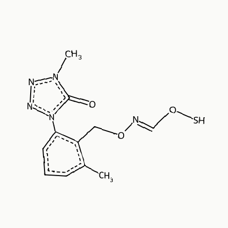 Cc1cccc(-n2nnn(C)c2=O)c1CON=COS